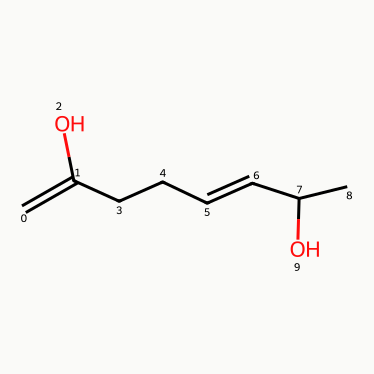 C=C(O)CCC=CC(C)O